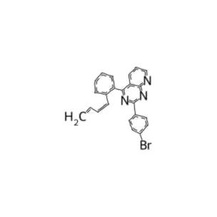 C=C/C=C\c1ccccc1-c1nc(-c2ccc(Br)cc2)nc2ncccc12